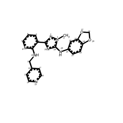 Cn1nc(-c2cccnc2NCc2ccncc2)nc1Nc1ccc2c(c1)OCO2